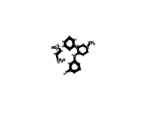 CN1CC[C@@H](Oc2cccc(F)c2)[C@@H](c2ccccc2)C1.O=C(O)/C=C/C(=O)O